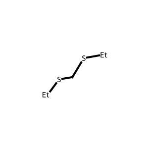 CCS[CH]SCC